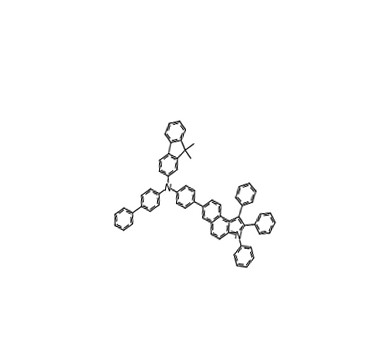 CC1(C)c2ccccc2-c2ccc(N(c3ccc(-c4ccccc4)cc3)c3ccc(-c4ccc5c(ccc6c5c(-c5ccccc5)c(-c5ccccc5)n6-c5ccccc5)c4)cc3)cc21